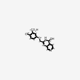 O=C(O)c1cc(OCC2=Nc3cnccc3C(O)N2)ccc1Cl